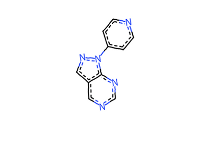 c1cc(-n2ncc3cncnc32)ccn1